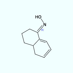 O/N=C1\CCCC2CC=CC=C12